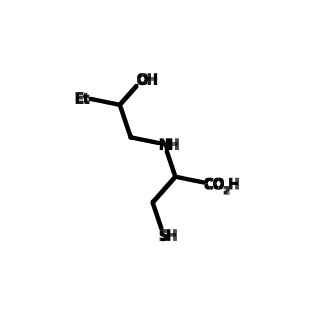 CCC(O)CNC(CS)C(=O)O